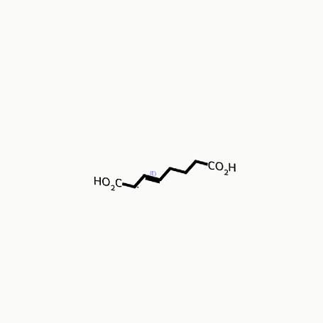 O=C(O)[CH]/C=C/CCCC(=O)O